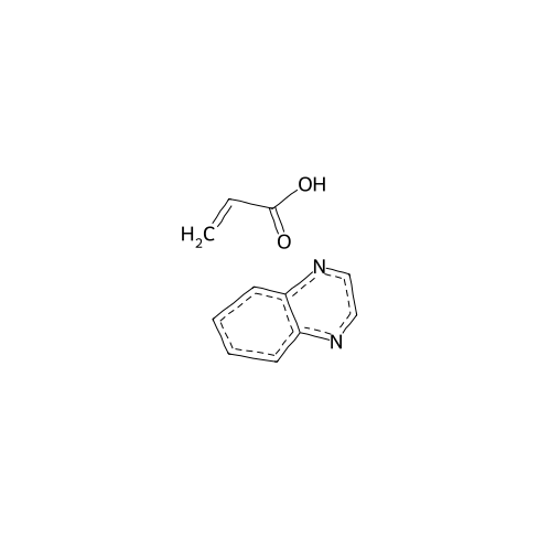 C=CC(=O)O.c1ccc2nccnc2c1